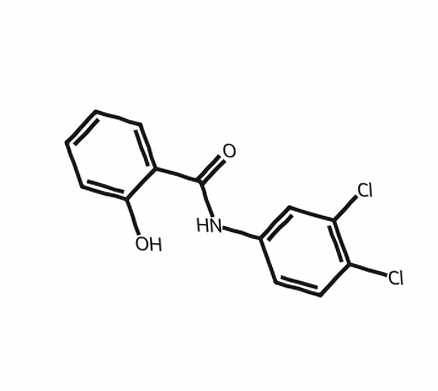 O=C(Nc1ccc(Cl)c(Cl)c1)c1ccccc1O